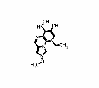 CCN1C=C(C)C(NC)C2=C1N1CN(OC)C=C1C=N2